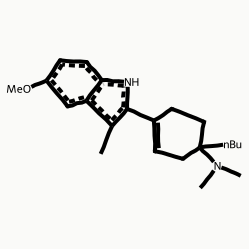 CCCCC1(N(C)C)CC=C(c2[nH]c3ccc(OC)cc3c2C)CC1